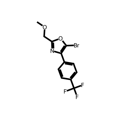 COCc1nc(-c2ccc(C(F)(F)F)cc2)c(Br)o1